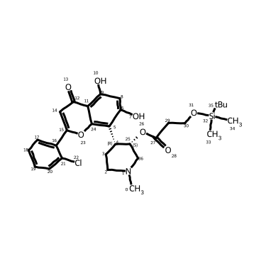 CN1CC[C@H](c2c(O)cc(O)c3c(=O)cc(-c4ccccc4Cl)oc23)[C@H](OC(=O)CCO[Si](C)(C)C(C)(C)C)C1